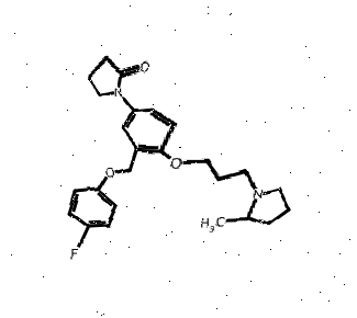 CC1CCCN1CCCOc1ccc(N2CCCC2=O)cc1COc1ccc(F)cc1